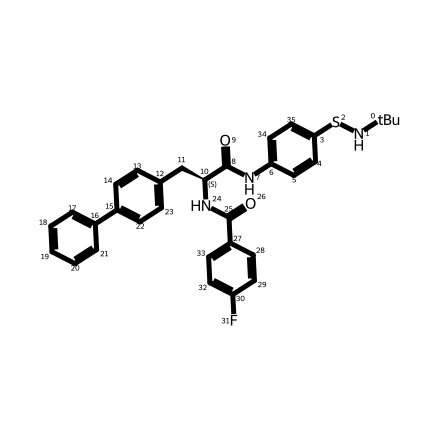 CC(C)(C)NSc1ccc(NC(=O)[C@H](Cc2ccc(-c3ccccc3)cc2)NC(=O)c2ccc(F)cc2)cc1